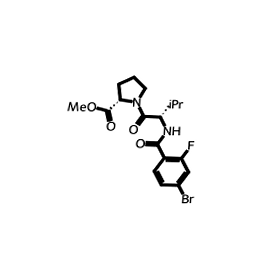 COC(=O)[C@@H]1CCCN1C(=O)[C@@H](NC(=O)c1ccc(Br)cc1F)C(C)C